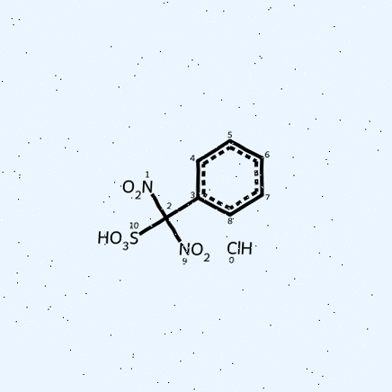 Cl.O=[N+]([O-])C(c1ccccc1)([N+](=O)[O-])S(=O)(=O)O